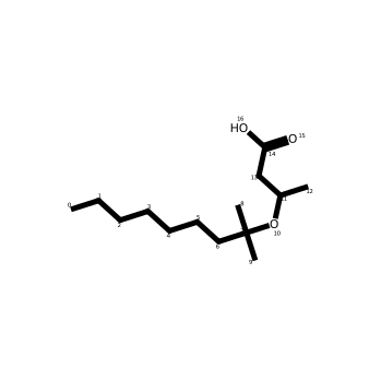 CCCCCCCC(C)(C)OC(C)CC(=O)O